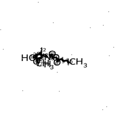 CCCCCC(=O)OCC(=O)NCc1cc(OC)c(O)cc1I